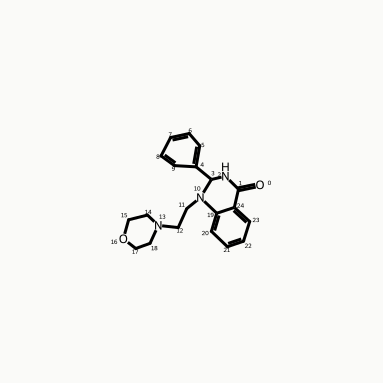 O=C1NC(c2ccccc2)N(CCN2CCOCC2)c2ccccc21